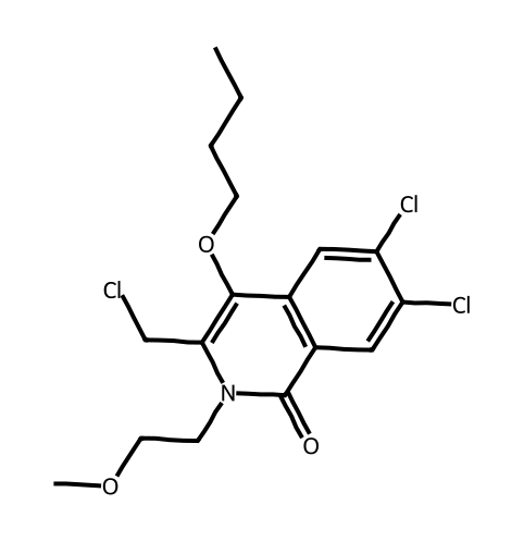 CCCCOc1c(CCl)n(CCOC)c(=O)c2cc(Cl)c(Cl)cc12